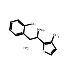 CNC(Cc1ccccc1O)c1sccc1C.Cl